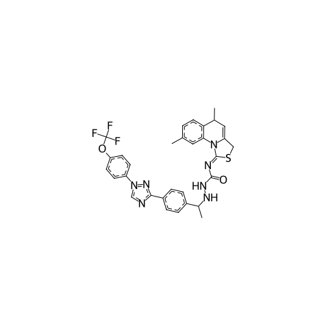 Cc1ccc2c(c1)N1C(=CC2C)CS/C1=N\C(=O)NNC(C)c1ccc(-c2ncn(-c3ccc(OC(F)(F)F)cc3)n2)cc1